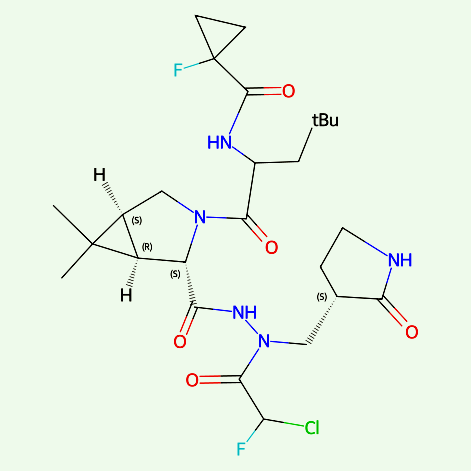 CC(C)(C)CC(NC(=O)C1(F)CC1)C(=O)N1C[C@H]2[C@@H]([C@H]1C(=O)NN(C[C@@H]1CCNC1=O)C(=O)C(F)Cl)C2(C)C